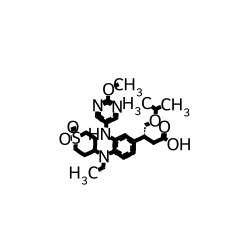 CCN(c1ccc([C@H](COC(C)C)CC(=O)O)cc1Nc1cnc(OC)nc1)C1CCS(=O)(=O)CC1